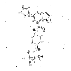 CC(O)(CN[C@H]1CC[C@H](NC(=O)c2cc(-n3ccnc3)cc3cc[nH]c23)CC1)C(F)(F)F